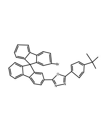 CC(C)(C)c1ccc(-c2nnc(-c3ccc4c(c3)C3(c5ccccc5-c5ccc(Br)cc53)c3ccccc3-4)o2)cc1